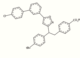 CC(C)(C)c1ccc(C(Cc2ccc(C(=O)O)cc2)c2cc(-c3cccc(-c4ccc(Cl)cc4)c3)on2)cc1